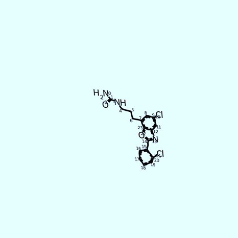 NC(=O)NCCCc1cc(Cl)cc2nc(-c3ccccc3Cl)oc12